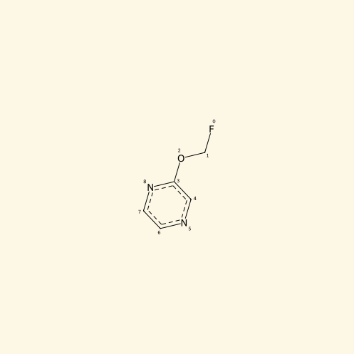 FCOc1cnccn1